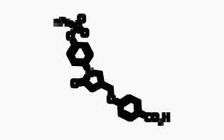 CCCS(=O)(=O)Oc1ccc(N2CC(COc3ccc(C(=O)O)cc3)CC2=O)cc1